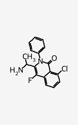 CC(N)c1c(F)c2cccc(Cl)c2c(=O)n1-c1ccccc1